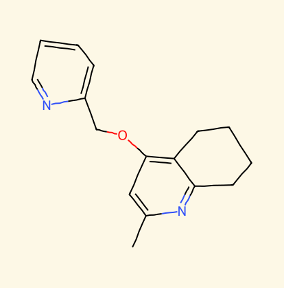 Cc1cc(OCc2ccccn2)c2c(n1)CCCC2